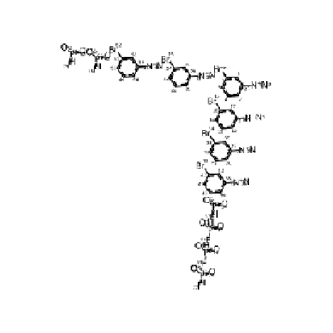 N#[N+]c1cccc(Br)c1.N#[N+]c1cccc(Br)c1.N#[N+]c1cccc(Br)c1.N#[N+]c1cccc(Br)c1.N#[N+]c1cccc(Br)c1.N#[N+]c1cccc(Br)c1.O=[PH]([O-])F.O=[PH]([O-])F.O=[PH]([O-])F.O=[PH]([O-])F.O=[PH]([O-])F.O=[PH]([O-])F